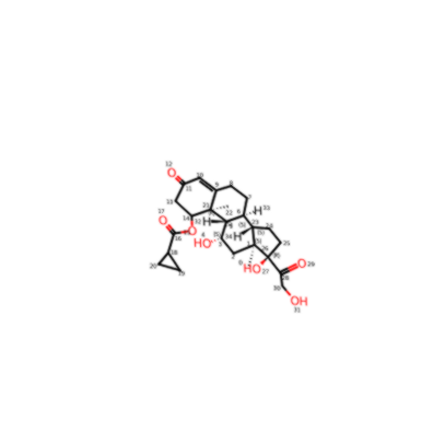 C[C@]12C[C@H](O)[C@H]3[C@@H](CCC4=CC(=O)CC(OC(=O)C5CC5)[C@@]43C)[C@@H]1CC[C@]2(O)C(=O)CO